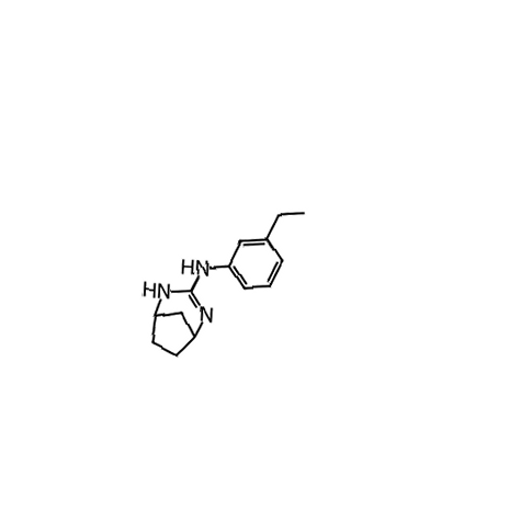 CCc1cccc(NC2=NC3CCC(C3)N2)c1